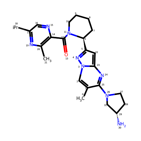 Cc1cn2nc([C@@H]3CCCCN3C(=O)c3ncc(C(C)C)nc3C)cc2nc1N1CC[C@H](N)C1